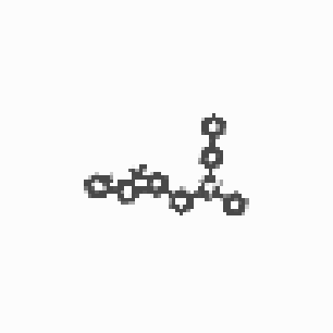 CC1(C)c2ccc(-c3cccc(-c4nc(-c5ccccc5)nc(-c5ccc(-c6ccccc6)cc5)n4)c3)cc2-c2ccc3c(oc4ccccc43)c21